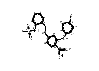 CS(=O)(=O)Nc1ccccc1CCc1ccc(C(=O)O)c(Nc2ccc(F)cc2)c1